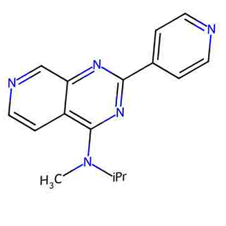 CC(C)N(C)c1nc(-c2ccncc2)nc2cnccc12